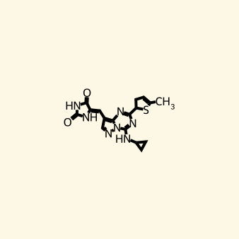 CC1=CCC(c2nc(NC3CC3)n3ncc(/C=C4\NC(=O)NC4=O)c3n2)S1